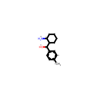 Cc1ccc(C(O)C2CCCCC2N)cc1